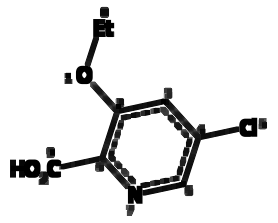 CCOc1cc(Cl)cnc1C(=O)O